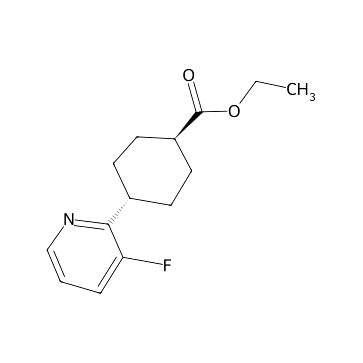 CCOC(=O)[C@H]1CC[C@H](c2ncccc2F)CC1